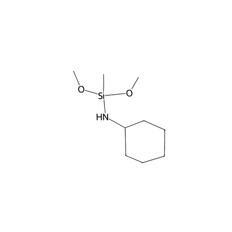 CO[Si](C)(NC1CCCCC1)OC